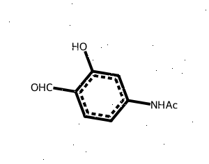 CC(=O)Nc1ccc(C=O)c(O)c1